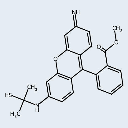 COC(=O)c1ccccc1-c1c2ccc(=N)cc-2oc2cc(NC(C)(C)S)ccc12